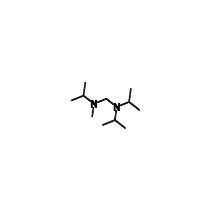 CC(C)N(C)CN(C(C)C)C(C)C